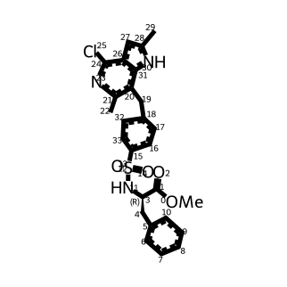 COC(=O)[C@@H](Cc1ccccc1)NS(=O)(=O)c1ccc(Cc2c(C)nc(Cl)c3cc(C)[nH]c23)cc1